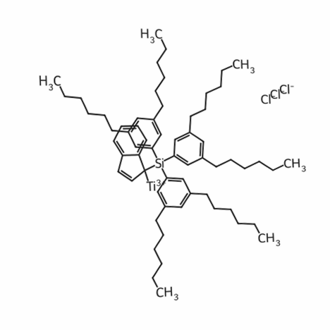 CCCCCCc1cc(CCCCCC)cc([Si](c2cc(CCCCCC)cc(CCCCCC)c2)(c2cc(CCCCCC)cc(CCCCCC)c2)[C]2([Ti+3])C=Cc3ccccc32)c1.[Cl-].[Cl-].[Cl-]